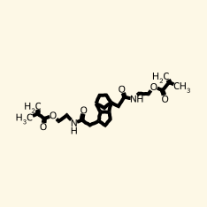 C=C(C)C(=O)OCCNC(=O)CC1CCC2C1C1CCC2(CC(=O)NCCOC(=O)C(=C)C)C1